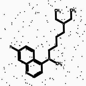 CCN(CC)CCCCN(C)c1ccnc2cc(F)ccc12